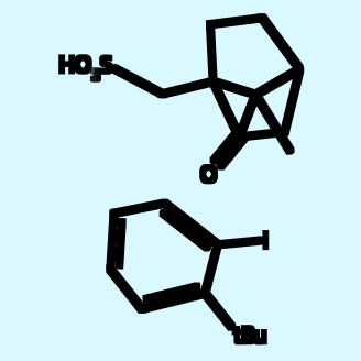 CC(C)(C)c1ccccc1I.CC1(C)C2CCC1(CS(=O)(=O)O)C(=O)C2